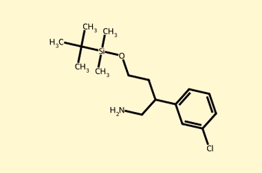 CC(C)(C)[Si](C)(C)OCCC(CN)c1cccc(Cl)c1